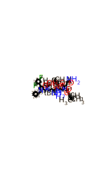 CC(C)(C)C(c1cc(-c2cc(F)ccc2F)cn1Cc1ccccc1)N(CCC(N)C(=O)NCCN(C(=O)OCC[Si](C)(C)C)C(CCC(N)=O)C(=O)OCC[Si](C)(C)C)C(=O)CO